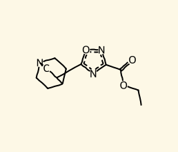 CCOC(=O)c1noc(C2CN3CCC2CC3)n1